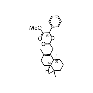 COC(=O)[C@H](OC(=O)CC1=C(C)CC[C@H]2C(C)(C)CCC[C@]12C)c1ccccc1